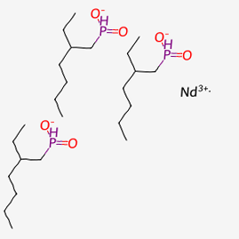 CCCCC(CC)C[PH](=O)[O-].CCCCC(CC)C[PH](=O)[O-].CCCCC(CC)C[PH](=O)[O-].[Nd+3]